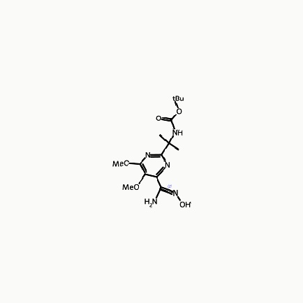 COc1nc(C(C)(C)NC(=O)OC(C)(C)C)nc(/C(N)=N/O)c1OC